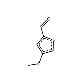 COc1csc(C=O)c1